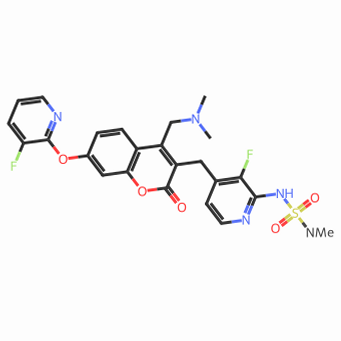 CNS(=O)(=O)Nc1nccc(Cc2c(CN(C)C)c3ccc(Oc4ncccc4F)cc3oc2=O)c1F